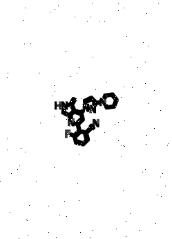 C=C1NCc2nc(-c3c(F)cccc3C#N)cc(-n3ccc(N4CCCCC4)n3)c21